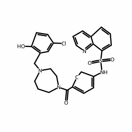 O=C(C1=CC=C(NS(=O)(=O)c2cccc3cccnc23)CC1)N1CCCN(Cc2cc(Cl)ccc2O)CC1